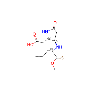 CCC[C@H](N[C@@H]1CC(=O)N[C@H]1CC(=O)O)C(=S)OC